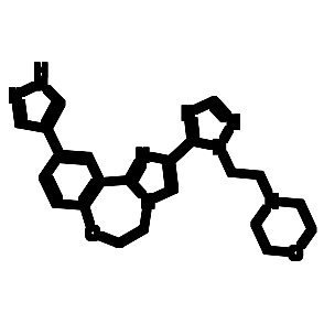 c1nc(-c2cn3c(n2)-c2cc(-c4cn[nH]c4)ccc2OCC3)n(CCN2CCOCC2)n1